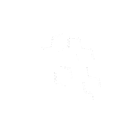 Nc1ccc2c(c1)C1C(c3ccncc3)=C(c3ccc(Br)cc3)C=NC1N2